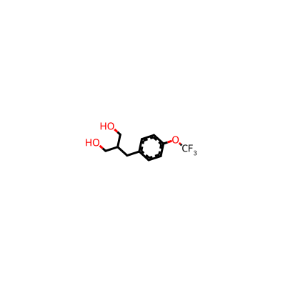 OCC(CO)Cc1ccc(OC(F)(F)F)cc1